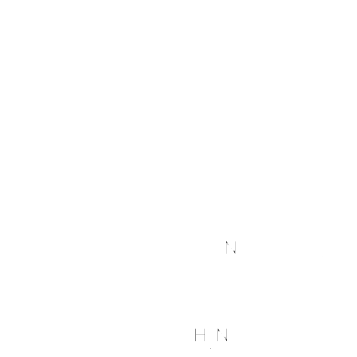 CCCCCCC(CC)c1cccc(N)n1